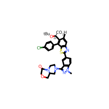 Cc1cc2nc(-c3ccc4c(c3)c(N3CCN5C(=O)COCC5C3)nn4C)sc2c(-c2ccc(Cl)cc2)c1[C@H](OC(C)(C)C)C(=O)O